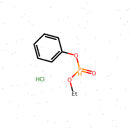 CCO[PH](=O)Oc1ccccc1.Cl